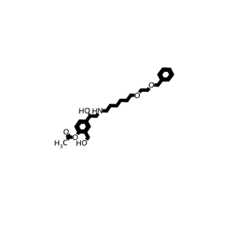 CC(=O)Oc1ccc([C@@H](O)CNCCCCCCOCCOCc2ccccc2)cc1CO